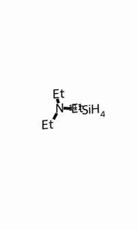 CCN(CC)CC.[111SiH4]